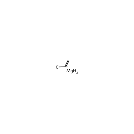 C=[C]Cl.[MgH2]